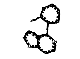 [Ir][c]1ccccc1-c1nccc2sccc12